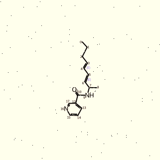 CCC/C=C/C=C/C(C)NC(=O)c1cccnc1